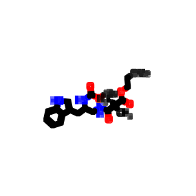 COCCOC(=O)C(C)(C)C(=O)NCC(Cc1c[nH]c2ccccc12)NC(=O)OC(C)(C)C